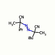 CCC(C)C(C)(C#N)N=NC(C)(C#N)C(C)C